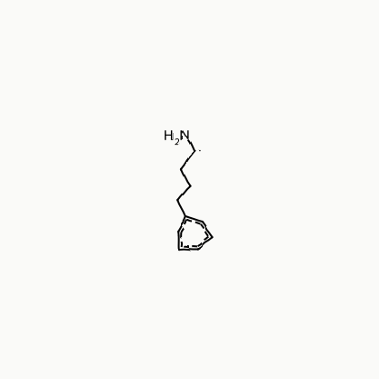 N[CH]CCCc1ccccc1